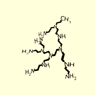 CCCN(CCN)CCNCCN(CCNCCN)CCN(CCNCCN)CCN(CCN)CCN